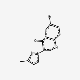 Cc1ccn(-c2cnc3ccc(Br)cn3c2=O)n1